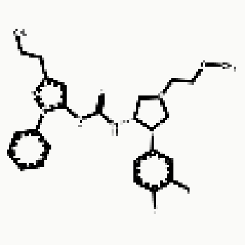 CCCc1cc(NC(=O)N[C@@H]2CN(CCOC)C[C@H]2c2ccc(F)c(F)c2)n(-c2ccccc2)n1